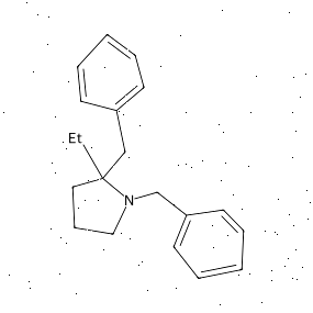 CCC1(Cc2ccccc2)CCCN1Cc1ccccc1